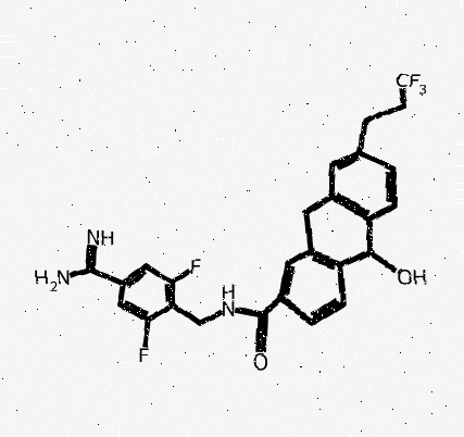 N=C(N)c1cc(F)c(CNC(=O)c2ccc3c(c2)Cc2cc(CCC(F)(F)F)ccc2C3O)c(F)c1